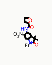 CCN1C(=O)C(C)(C)c2cc(NC(=O)c3ccco3)c([N+](=O)[O-])cc21